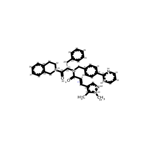 Cc1c(/C=C/C(=O)N(Cc2ccc(-c3ncccn3)cc2)[C@@H](Cc2ccccc2)C(=O)N2CCc3ccccc3C2)cnn1C